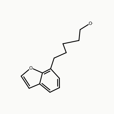 [O]CCCCCc1cccc2ccoc12